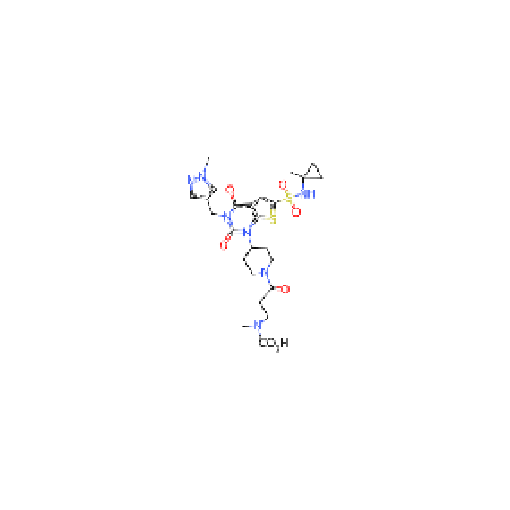 CN(CCC(=O)N1CCC(n2c(=O)n(Cc3cnn(C)c3)c(=O)c3cc(S(=O)(=O)NC4(C)CC4)sc32)CC1)C(=O)O